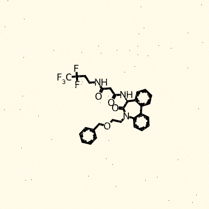 O=C(CC(=O)N[C@@H]1C(=O)N(CCOCc2ccccc2)c2ccccc2-c2ccccc21)NCCC(F)(F)C(F)(F)F